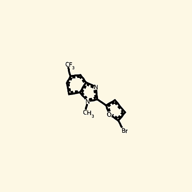 Cn1c(-c2ccc(Br)o2)nc2cc(C(F)(F)F)ccc21